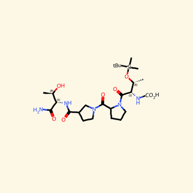 C[C@@H](O)[C@H](NC(=O)C1CCN(C(=O)C2CCCN2C(=O)[C@@H](NC(=O)O)[C@@H](C)O[Si](C)(C)C(C)(C)C)C1)C(N)=O